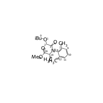 CCC(C)OCC(=O)N(c1c(C)cccc1C)C(C)C(=O)OC